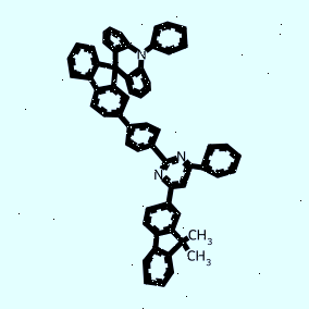 CC1(C)c2ccccc2-c2ccc(-c3cc(-c4ccccc4)nc(-c4ccc(-c5ccc6c(c5)C5(c7ccccc7-6)c6ccccc6N(c6ccccc6)c6ccccc65)cc4)n3)cc21